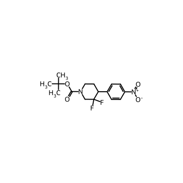 CC(C)(C)OC(=O)N1CCC(c2ccc([N+](=O)[O-])cc2)C(F)(F)C1